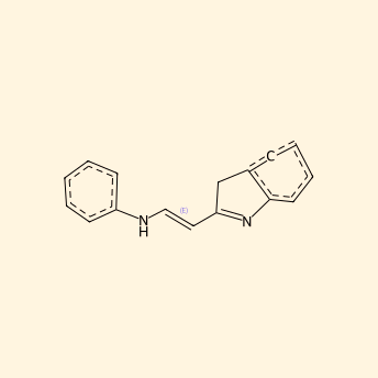 C(=C\C1=Nc2ccccc2C1)/Nc1ccccc1